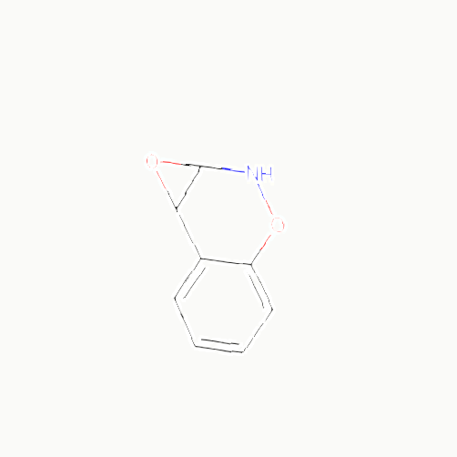 c1ccc2c(c1)ONC1OC21